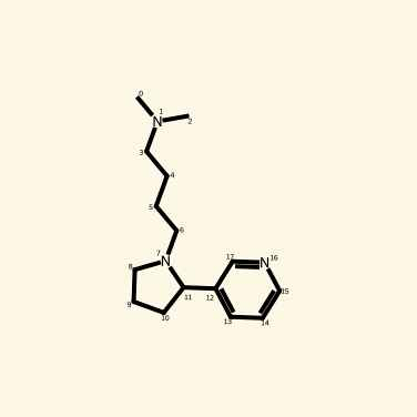 CN(C)CCCCN1CCCC1c1cccnc1